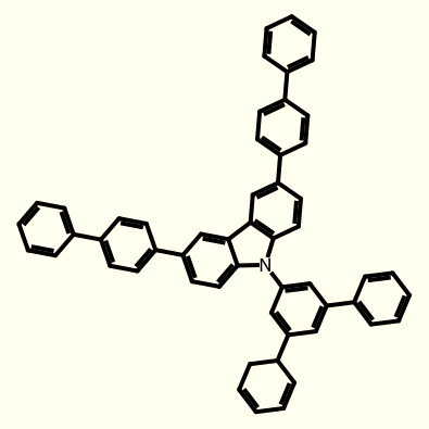 C1=CCC(c2cc(-c3ccccc3)cc(-n3c4ccc(-c5ccc(-c6ccccc6)cc5)cc4c4cc(-c5ccc(-c6ccccc6)cc5)ccc43)c2)C=C1